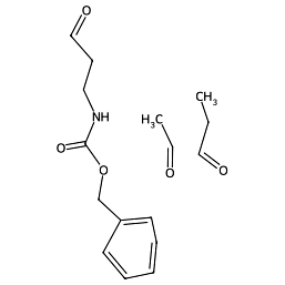 CC=O.CCC=O.O=CCCNC(=O)OCc1ccccc1